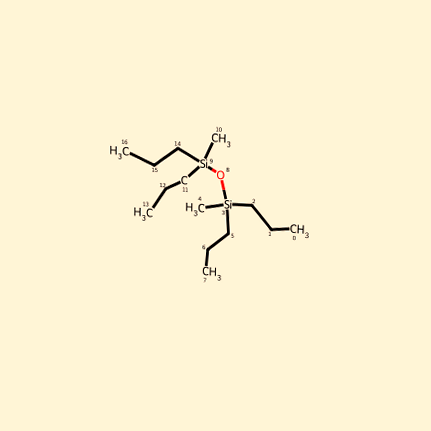 CCC[Si](C)(CCC)O[Si](C)(CCC)CCC